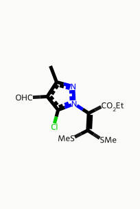 CCOC(=O)C(=C(SC)SC)n1nc(C)c(C=O)c1Cl